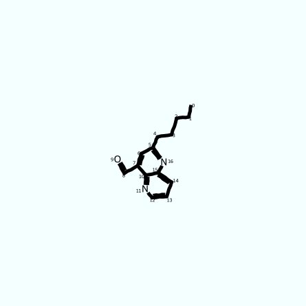 CCCCCc1cc(C=O)c2ncccc2n1